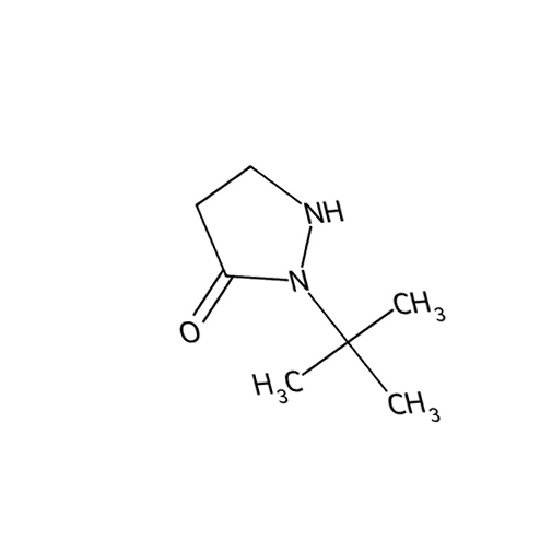 CC(C)(C)N1NCCC1=O